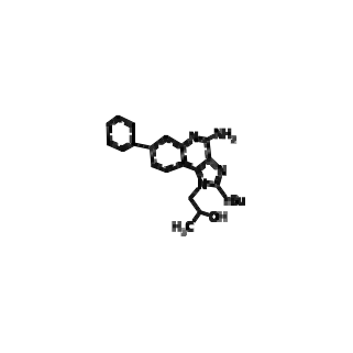 CCCCc1nc2c(N)nc3cc(-c4ccccc4)ccc3c2n1CC(C)O